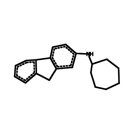 c1ccc2c(c1)Cc1cc(NC3CCCCCC3)ccc1-2